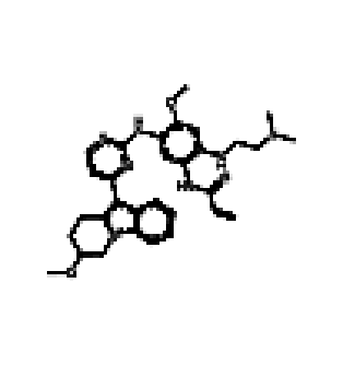 C=CC(=O)Nc1cc(Nc2nccc(-c3c4n(c5ccccc35)CC(OC)CC4)n2)c(OC)cc1NCCN(C)C